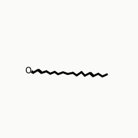 CCCC=CCCCCCCCCCCC=CC=O